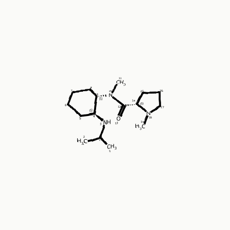 CC(C)N[C@H]1CCCC[C@@H]1N(C)C(=O)[C@@H]1CCCN1C